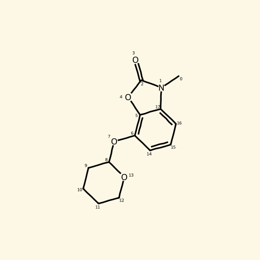 Cn1c(=O)oc2c(OC3CCCCO3)cccc21